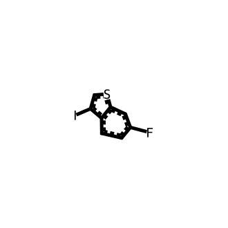 Fc1ccc2c(I)csc2c1